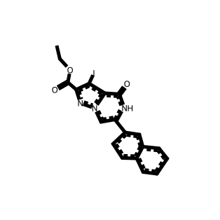 CCOC(=O)c1nn2cc(-c3ccc4ccccc4c3)[nH]c(=O)c2c1I